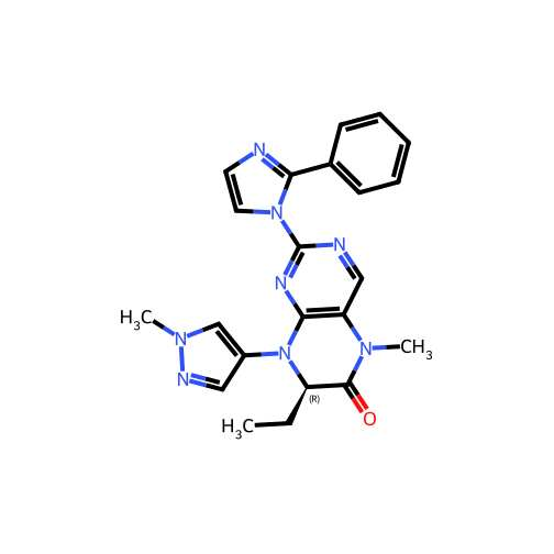 CC[C@@H]1C(=O)N(C)c2cnc(-n3ccnc3-c3ccccc3)nc2N1c1cnn(C)c1